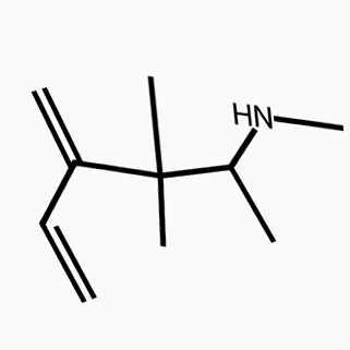 C=CC(=C)C(C)(C)C(C)NC